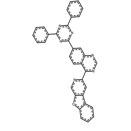 c1ccc(-c2nc(-c3ccccc3)nc(-c3ccc4c(-c5cc6c(cn5)oc5ccccc56)ncnc4c3)n2)cc1